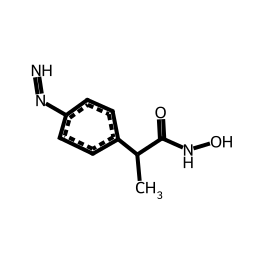 CC(C(=O)NO)c1ccc(N=N)cc1